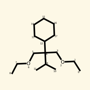 CCOCC(COCC)(C(C)C)C1CCCCC1